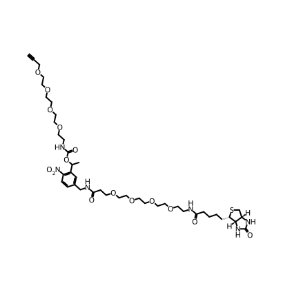 C#CCOCCOCCOCCOCCNC(=O)OC(C)c1cc(CNC(=O)CCOCCOCCOCCOCCNC(=O)CCCC[C@@H]2SC[C@@H]3NC(=O)N[C@@H]32)ccc1[N+](=O)[O-]